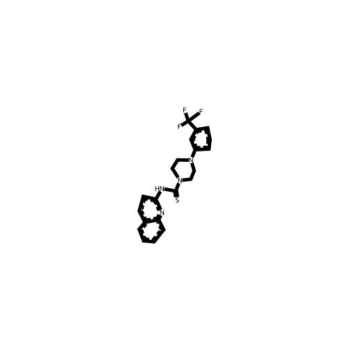 FC(F)(F)c1cccc(N2CCN(C(=S)Nc3ccc4ccccc4n3)CC2)c1